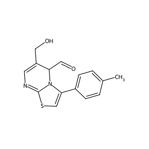 Cc1ccc(C2=CSC3=NC=C(CO)C(C=O)N23)cc1